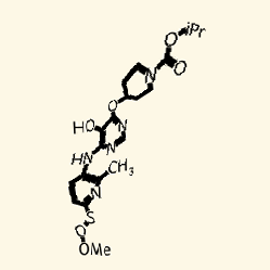 COOSc1ccc(Nc2ncnc(OC3CCN(C(=O)OC(C)C)CC3)c2O)c(C)n1